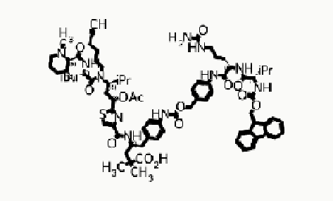 C#CCCCCN(C(=O)[C@@H](NC(=O)[C@H]1CCCCN1C)[C@@H](C)CC)[C@H](C[C@@H](OC(C)=O)c1nc(C(=O)N[C@@H](Cc2ccc(NC(=O)OCc3ccc(NC(=O)[C@H](CCCNC(N)=O)NC(=O)[C@@H](NC(=O)OCC4c5ccccc5-c5ccccc54)C(C)C)cc3)cc2)CC(C)(C)C(=O)O)cs1)C(C)C